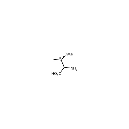 CO[C@H](C)C(N)C(=O)O